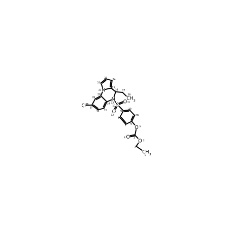 CCOC(=O)Oc1ccc(S(=O)(=O)N2c3ccc(Cl)cc3-n3cccc3C2CC)cc1